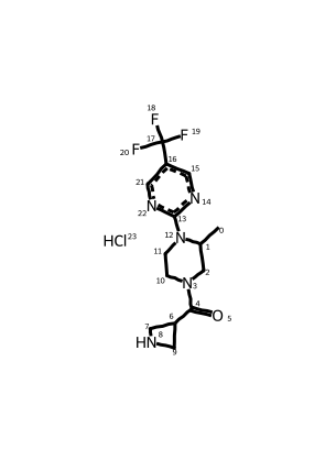 CC1CN(C(=O)C2CNC2)CCN1c1ncc(C(F)(F)F)cn1.Cl